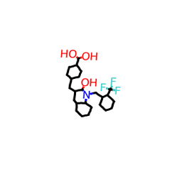 OC(O)C1CCC(CC2CC3CCCCC3N(CC3CCCCC3C(F)(F)F)C2O)CC1